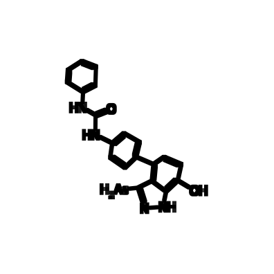 O=C(Nc1ccccc1)Nc1ccc(-c2ccc(O)c3[nH]nc([AsH2])c23)cc1